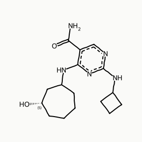 NC(=O)c1cnc(NC2CCC2)nc1NC1CCCC[C@H](O)C1